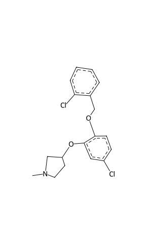 CN1CCC(Oc2cc(Cl)ccc2OCc2ccccc2Cl)C1